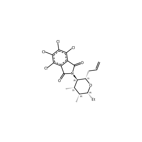 C=CC[C@@H]1O[C@H](CC)[C@H](C)[C@H](C)[C@H]1N1C(=O)c2c(Cl)c(Cl)c(Cl)c(Cl)c2C1=O